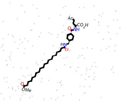 COC(=O)CCCCCCCCCCCCCCCCCCC(=O)NC[C@H]1CC[C@H](C(=O)N[C@@H](CCC(C)=O)C(=O)O)CC1